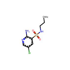 COCCNS(=O)(=O)c1cc(Br)cnc1N